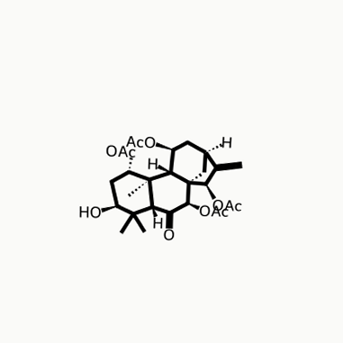 C=C1[C@@H]2C[C@H](OC(C)=O)[C@H]3[C@]4(C)[C@@H](OC(C)=O)C[C@H](O)C(C)(C)[C@H]4C(=O)[C@H](OC(C)=O)[C@]3(C2)[C@@H]1OC(C)=O